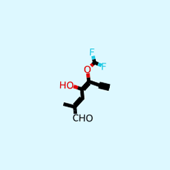 C#C/C(OC(F)F)=C(O)\C=C(/C)C=O